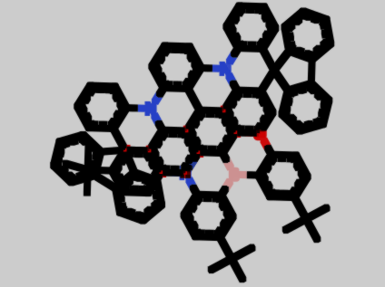 CC(C)(C)c1ccc(N2c3ccc(C(C)(C)C)cc3B3c4cc(C(C)(C)C)ccc4Oc4cc(-c5c(N6c7ccccc7C7(c8ccccc8-c8ccccc87)c7ccccc76)cccc5N5c6ccccc6C6(c7ccccc7-c7ccccc76)c6ccccc65)cc2c43)cc1